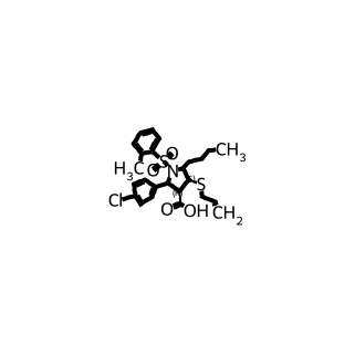 C=CCS[C@@H]1C(CCCC)N(S(=O)(=O)c2ccccc2C)C(c2ccc(Cl)cc2)[C@@H]1C(=O)O